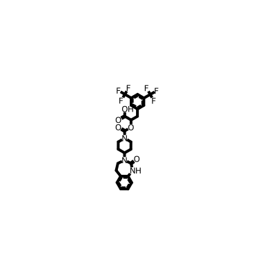 O=C(O)C(Cc1cc(C(F)(F)F)cc(C(F)(F)F)c1)OC(=O)N1CCC(N2CCc3ccccc3NC2=O)CC1